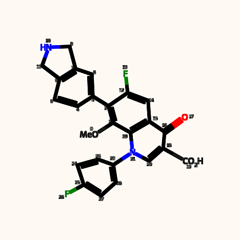 COc1c(-c2ccc3c(c2)CNC3)c(F)cc2c(=O)c(C(=O)O)cn(-c3ccc(F)cc3)c12